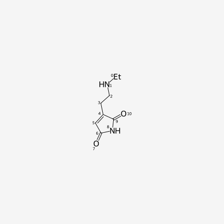 CCNCCC1=CC(=O)NC1=O